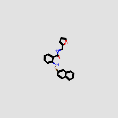 O=C(NCc1ccco1)c1ccccc1NSc1ccc2ccccc2c1